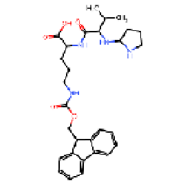 CC(C)C(NC1CCCN1)C(=O)NC(CCCNC(=O)OCC1c2ccccc2-c2ccccc21)C(=O)O